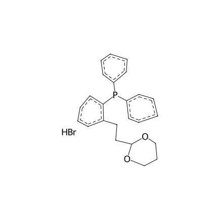 Br.c1ccc(P(c2ccccc2)c2ccccc2CCC2OCCCO2)cc1